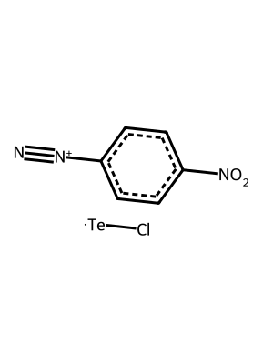 Cl[Te].N#[N+]c1ccc([N+](=O)[O-])cc1